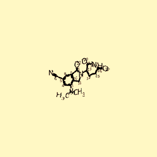 CN(C)c1cc(C#N)cc2c1CN(C1CCC(=O)NC1=O)C2=O